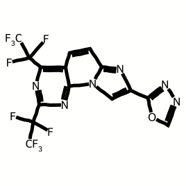 FC(F)(F)C(F)(F)c1nc(C(F)(F)C(F)(F)F)c2ccc3nc(-c4nnco4)cn3c2n1